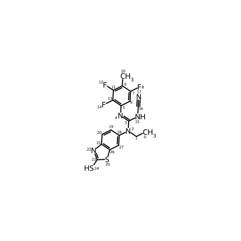 CCN(C(=Nc1cc(F)c(C)c(F)c1F)NC#N)c1ccc2nc(S)sc2c1